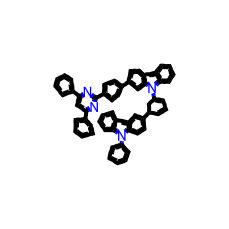 C1=CC(c2ccc3c(c2)c2ccccc2n3-c2ccccc2)CC(n2c3ccccc3c3ccc(-c4ccc(-c5nc(-c6ccccc6)cc(-c6ccccc6)n5)cc4)cc32)=C1